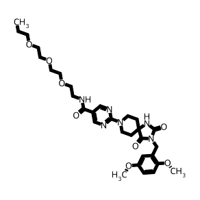 CCCOCCOCCOCCNC(=O)c1cnc(N2CCC3(CC2)NC(=O)N(Cc2cc(OC)ccc2OC)C3=O)nc1